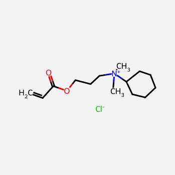 C=CC(=O)OCCC[N+](C)(C)C1CCCCC1.[Cl-]